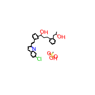 CC(O)Cc1ccccc1CCC(O)c1cccc(C=Cc2ccc3ccc(Cl)cc3n2)c1.CS(=O)(=O)O